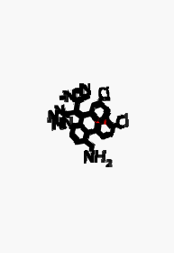 Cn1cncc1-c1c(-c2cccc(Cl)c2)c2c(-c3ccc(Cl)cc3)c(CN)ccc2n2nnnc12